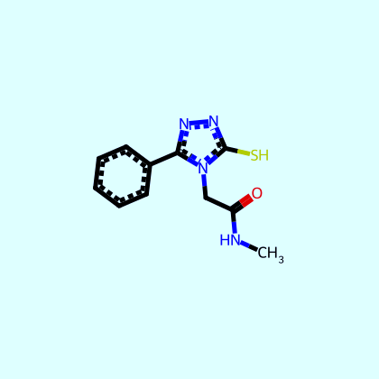 CNC(=O)Cn1c(S)nnc1-c1ccccc1